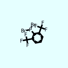 FC(F)(F)c1cccc(C(F)(F)F)c1P(Br)Br